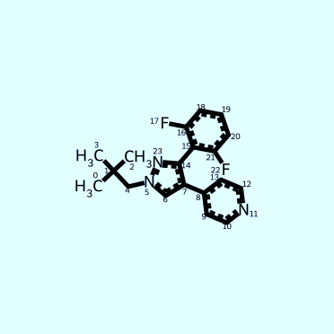 CC(C)(C)Cn1cc(-c2ccncc2)c(-c2c(F)cccc2F)n1